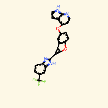 FC(F)(F)c1ccc2nc(C3=C4Oc5ccc(Oc6ccnc7[nH]ccc67)cc5C43)[nH]c2c1